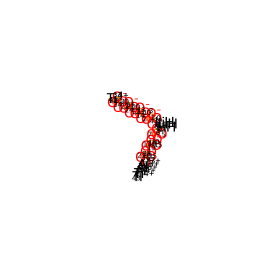 O=P([O-])([O-])[O-].O=P([O-])([O-])[O-].O=P([O-])([O-])[O-].O=P([O-])([O-])[O-].O=P([O-])([O-])[O-].O=P([O-])([O-])[O-].O=P([O-])([O-])[O-].[Al+3].[Al+3].[Al+3].[LiH].[LiH].[LiH].[Ti+4].[Ti+4].[Ti+4]